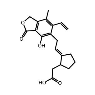 C=Cc1c(C)c2c(c(O)c1CC=C1CCCC1CC(=O)O)C(=O)OC2